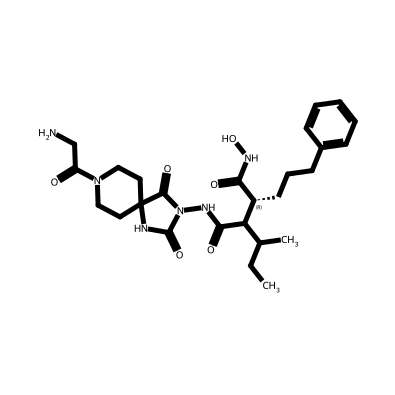 CCC(C)C(C(=O)NN1C(=O)NC2(CCN(C(=O)CN)CC2)C1=O)[C@@H](CCCc1ccccc1)C(=O)NO